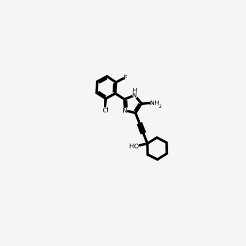 Nc1[nH]c(-c2c(F)cccc2Cl)nc1C#CC1(O)CCCCC1